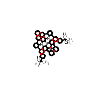 CC(C)(C)c1ccc(-c2cc3c(c4oc5ccccc5c24)B2c4c(cc(-c5ccccc5)cc4N(c4c(-c5ccccc5)cccc4-c4ccccc4)c4cc(-c5ccc(C(C)(C)C)cc5)c5c(oc6ccccc65)c42)N3c2c(-c3ccccc3)cccc2-c2ccccc2)cc1